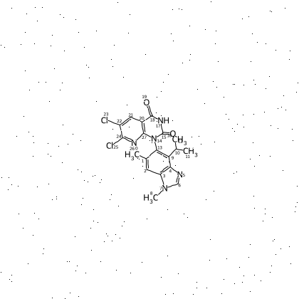 Cc1cc2c(ncn2C)c(C(C)C)c1-n1c(=O)[nH]c(=O)c2cc(Cl)c(Cl)nc21